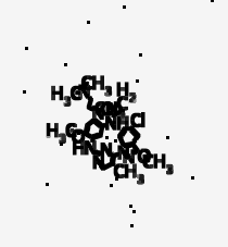 C=CC(=O)Nc1cc(Nc2ncc(C)c(-n3nc(OC)c4cc(Cl)ccc43)n2)c(OC)cc1N(C)CCN(C)C